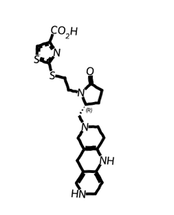 O=C(O)c1csc(SCCN2C(=O)CC[C@@H]2CN2CCC3=C(CC4=CNCC=C4N3)C2)n1